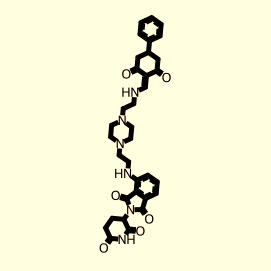 O=C1CCC(N2C(=O)c3cccc(NCCN4CCN(CCNC=C5C(=O)CC(c6ccccc6)CC5=O)CC4)c3C2=O)C(=O)N1